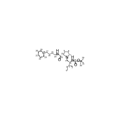 CC[C@H](C)[C@@H](CN1CCC[C@H]1C(=O)NCCCCc1ccccc1)NC(=O)OC(C)(C)C